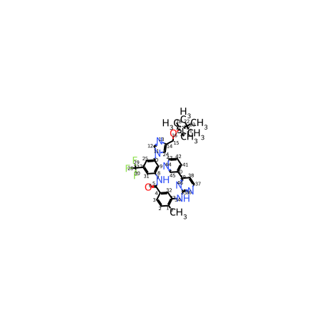 Cc1ccc(C(=O)Nc2cc(-n3cnc(CO[Si](C)(C)C(C)(C)C)c3)cc(C(F)(F)F)c2)cc1Nc1nccc(-c2cccnc2)n1